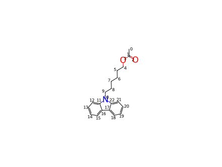 CC(=O)OCCCCCCn1c2ccccc2c2ccccc21